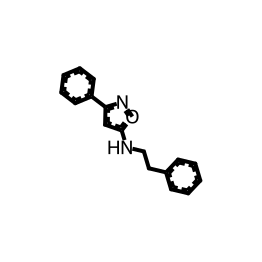 c1ccc(CCNc2cc(-c3ccccc3)no2)cc1